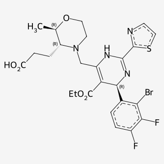 CCOC(=O)C1=C(CN2CCO[C@H](C)[C@H]2CCC(=O)O)NC(c2nccs2)=N[C@H]1c1ccc(F)c(F)c1Br